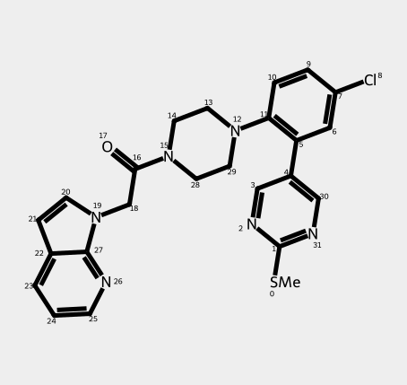 CSc1ncc(-c2cc(Cl)ccc2N2CCN(C(=O)Cn3ccc4cccnc43)CC2)cn1